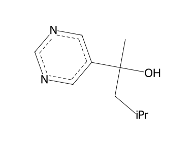 CC(C)CC(C)(O)c1cncnc1